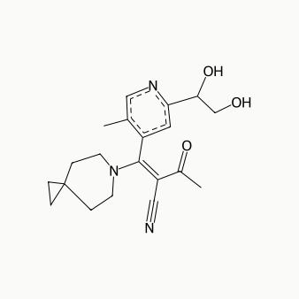 CC(=O)/C(C#N)=C(\c1cc(C(O)CO)ncc1C)N1CCC2(CC1)CC2